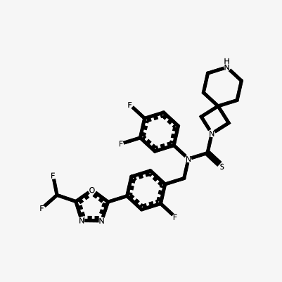 Fc1ccc(N(Cc2ccc(-c3nnc(C(F)F)o3)cc2F)C(=S)N2CC3(CCNCC3)C2)cc1F